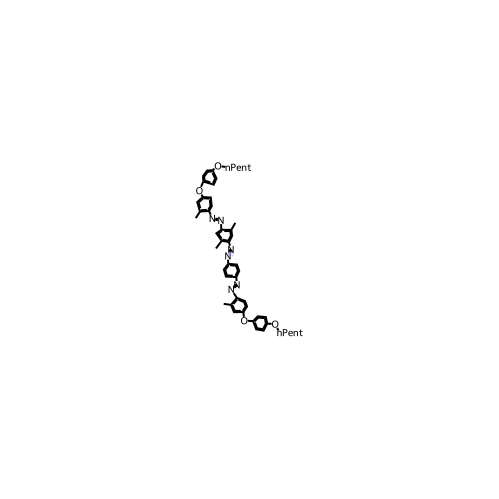 CCCCCOc1ccc(Oc2ccc(N=Nc3ccc(/N=N/c4cc(C)c(N=Nc5ccc(Oc6ccc(OCCCCC)cc6)cc5C)cc4C)cc3)c(C)c2)cc1